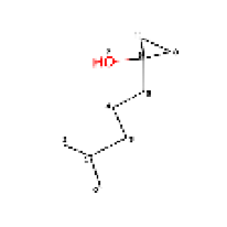 CC(C)CCCC1(O)CC1